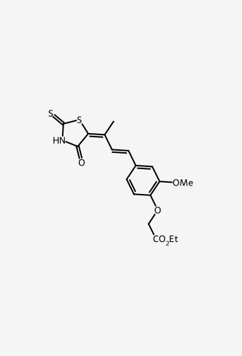 CCOC(=O)COc1ccc(/C=C/C(C)=C2/SC(=S)NC2=O)cc1OC